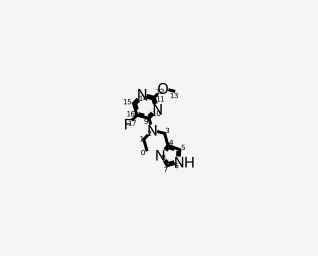 CCN(Cc1c[nH]cn1)c1nc(OC)ncc1F